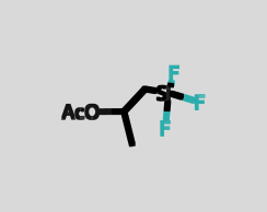 CC(=O)OC(C)C[Si](F)(F)F